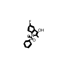 Cc1c(O)c2cc(F)ccc2n1S(=O)(=O)c1ccccc1